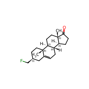 C[C@]12CC[C@H](CF)CC1=CC[C@@H]1[C@@H]2CC[C@]2(C)C(=O)CC[C@@H]12